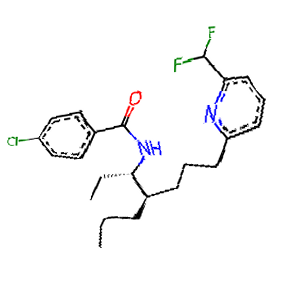 CCC[C@H](CCCc1cccc(C(F)F)n1)[C@H](CC)NC(=O)c1ccc(Cl)cc1